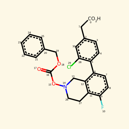 O=C(O)Cc1ccc(-c2ccc(F)c3c2CN(OC(=O)OCc2ccccc2)CC3)c(Cl)c1